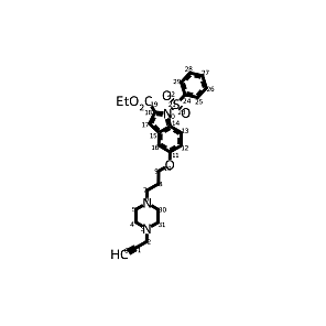 C#CCN1CCN(CCCOc2ccc3c(c2)cc(C(=O)OCC)n3S(=O)(=O)c2ccccc2)CC1